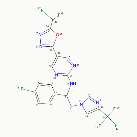 Fc1ccc(C(Cn2cnc(C(F)(F)F)c2)Nc2ncc(-c3nnc(C(F)F)o3)cn2)cc1